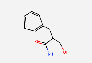 [NH]C(=O)C(CO)Cc1ccccc1